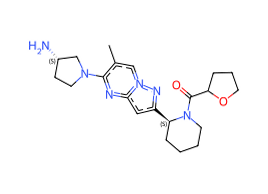 Cc1cn2nc([C@@H]3CCCCN3C(=O)C3CCCO3)cc2nc1N1CC[C@H](N)C1